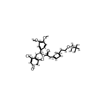 COc1ccc([C@H](Cc2c(Cl)c[n+]([O-])cc2Cl)OC(=O)Cc2ccc(CCO[Si](C)(C)C(C)(C)C)s2)cc1OC